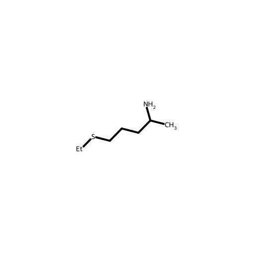 CCSCCCC(C)N